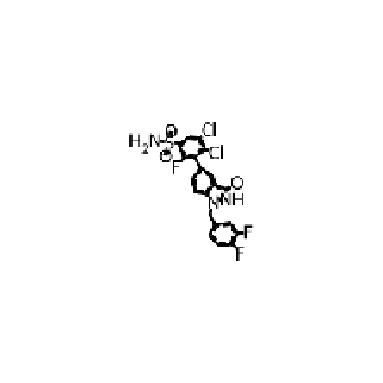 NS(=O)(=O)c1cc(Cl)c(Cl)c(-c2ccc3c(c2)c(=O)[nH]n3Cc2ccc(F)c(F)c2)c1F